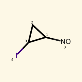 O=NC1CC1I